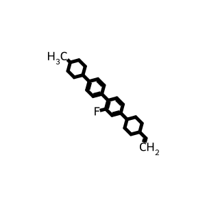 C=CC1CCC(c2ccc(-c3ccc(C4CCC(C)CC4)cc3)c(F)c2)CC1